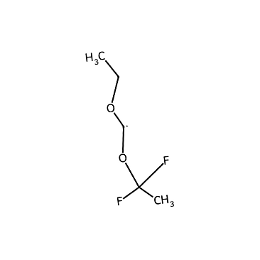 CCO[CH]OC(C)(F)F